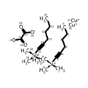 CCCCC#C[Si](C)(C)C.CCCCC#C[Si](C)(C)C.O=C([O-])C(=O)[O-].[Cu+].[Cu+]